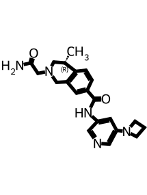 C[C@H]1CN(CC(N)=O)Cc2cc(C(=O)Nc3cncc(N4CCC4)c3)ccc21